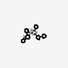 CN1C(c2ccccc2)=NC(c2cccc(-c3ccccc3)c2)=NC1n1c2ccccc2c2c3sc4ccccc4c3ccc21